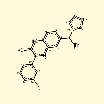 CC(C)C(c1ccc2[nH]c(=O)c(-c3cccc(F)c3)nc2c1)n1ccnc1